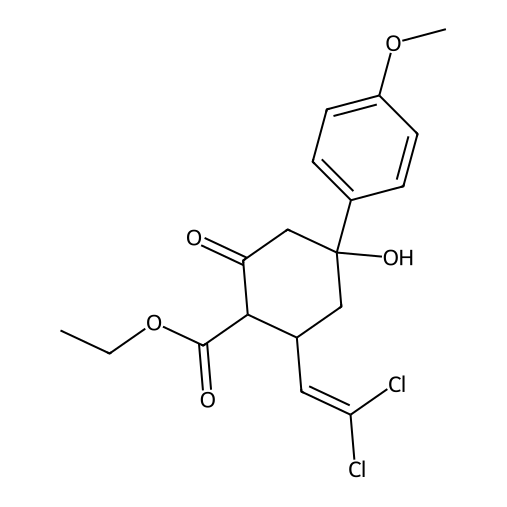 CCOC(=O)C1C(=O)CC(O)(c2ccc(OC)cc2)CC1C=C(Cl)Cl